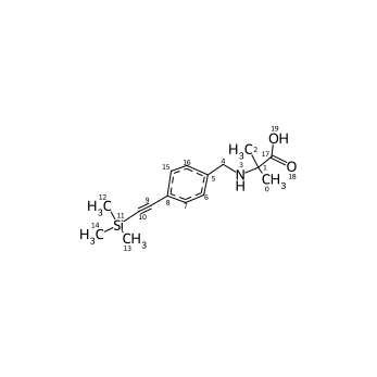 CC(C)(NCc1ccc(C#C[Si](C)(C)C)cc1)C(=O)O